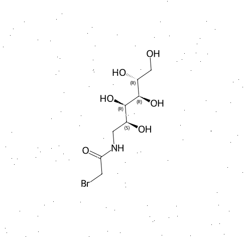 O=C(CBr)NC[C@H](O)[C@@H](O)[C@H](O)[C@H](O)CO